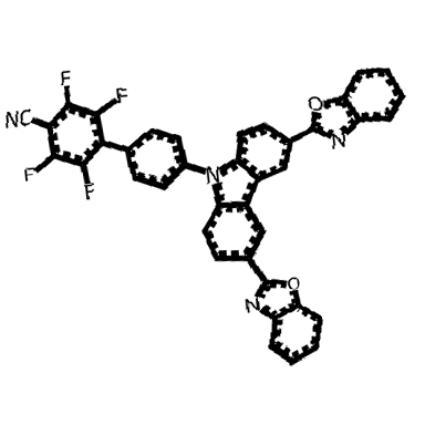 N#Cc1c(F)c(F)c(-c2ccc(-n3c4ccc(-c5nc6ccccc6o5)cc4c4cc(-c5nc6ccccc6o5)ccc43)cc2)c(F)c1F